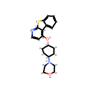 c1ccc2c(c1)sc1nccc(O[C@H]3CC[C@H](N4CCOCC4)CC3)c12